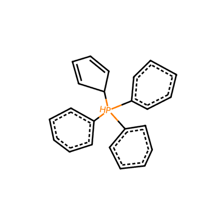 C1=CC([PH](c2ccccc2)(c2ccccc2)c2ccccc2)C=C1